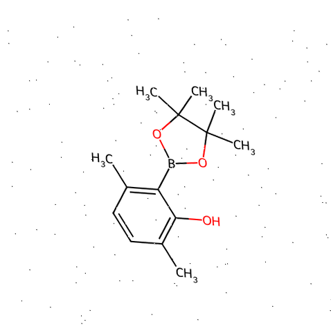 Cc1ccc(C)c(B2OC(C)(C)C(C)(C)O2)c1O